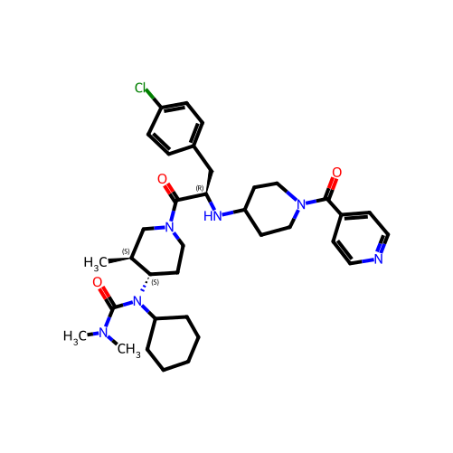 C[C@H]1CN(C(=O)[C@@H](Cc2ccc(Cl)cc2)NC2CCN(C(=O)c3ccncc3)CC2)CC[C@@H]1N(C(=O)N(C)C)C1CCCCC1